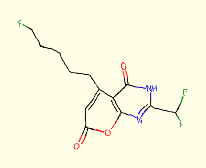 O=c1cc(CCCCCF)c2c(=O)[nH]c(C(F)F)nc2o1